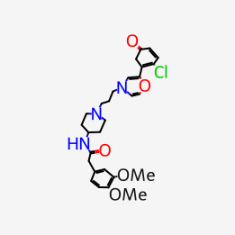 COc1ccc(CC(=O)NC2CCN(CCCN3C=COC(C4=C(Cl)C=CC(=O)C4)=C3)CC2)cc1OC